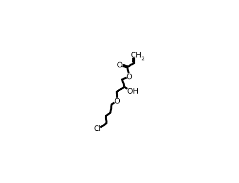 C=CC(=O)OCC(O)COCCCCCl